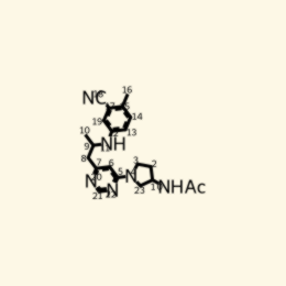 CC(=O)NC1CCN(c2cc(CC(C)Nc3ccc(C)c(C#N)c3)ncn2)C1